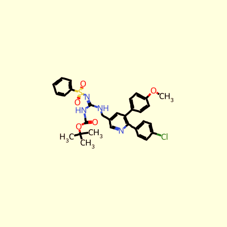 COc1ccc(-c2cc(CN/C(=N/S(=O)(=O)c3ccccc3)NC(=O)OC(C)(C)C)cnc2-c2ccc(Cl)cc2)cc1